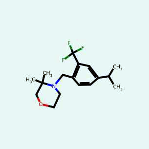 CC(C)c1ccc(CN2CCOCC2(C)C)c(C(F)(F)F)c1